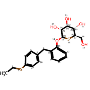 CCSc1ccc(Cc2ccccc2O[C@@H]2S[C@H](CO)[C@@H](O)[C@H](O)[C@H]2O)cc1